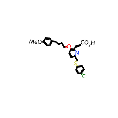 COc1ccc(CCCCOc2ccc(CSc3ccc(Cl)cc3)nc2C=CC(=O)O)cc1